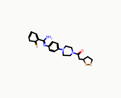 NC(=Nc1ccc(N2CCN(C(=O)CC3CCSS3)CC2)cc1)C1=CC=CCC1=S